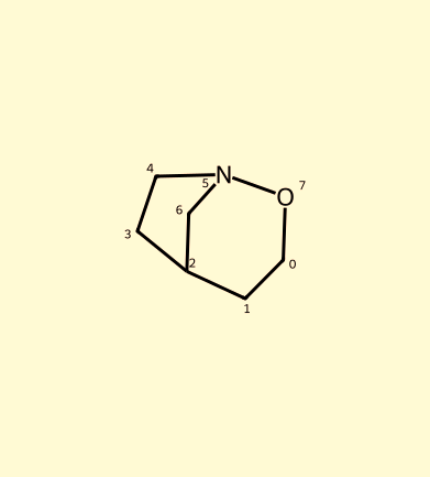 C1CC2CCN(C2)O1